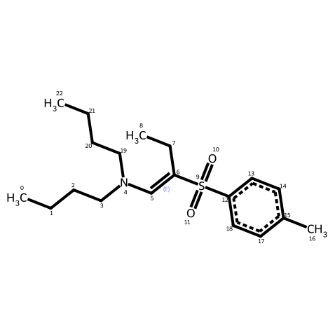 CCCCN(/C=C(\CC)S(=O)(=O)c1ccc(C)cc1)CCCC